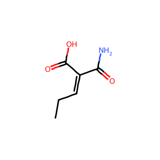 CCC=C(C(N)=O)C(=O)O